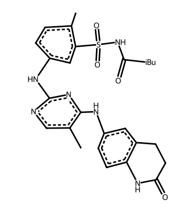 CCC(C)C(=O)NS(=O)(=O)c1cc(Nc2ncc(C)c(Nc3ccc4c(c3)CCC(=O)N4)n2)ccc1C